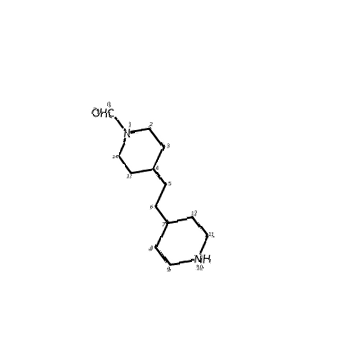 O=CN1CCC(CCC2CCNCC2)CC1